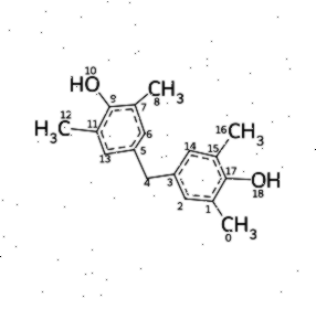 Cc1cc(Cc2cc(C)c(O)c(C)c2)cc(C)c1O